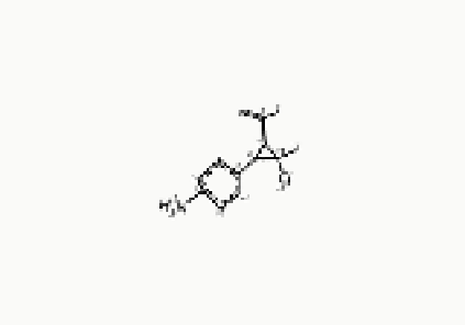 C=C(C)C1C(c2ccc(N)cc2)C1(C)Cl